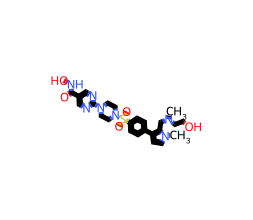 CN(CCO)Cc1c(-c2ccc(S(=O)(=O)N3CCN(c4ncc(C(=O)NO)cn4)CC3)cc2)ccn1C